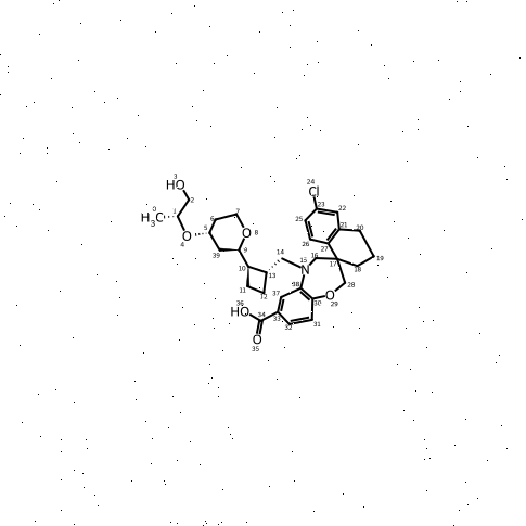 C[C@H](CO)O[C@@H]1CCO[C@@H]([C@@H]2CC[C@H]2CN2CC3(CCCc4cc(Cl)ccc43)COc3ccc(C(=O)O)cc32)C1